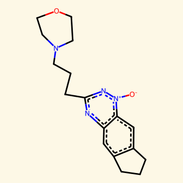 [O-][n+]1nc(CCCN2CCOCC2)nc2cc3c(cc21)CCC3